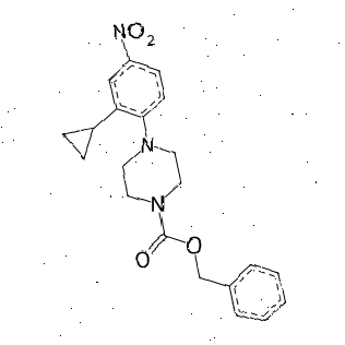 O=C(OCc1ccccc1)N1CCN(c2ccc([N+](=O)[O-])cc2C2CC2)CC1